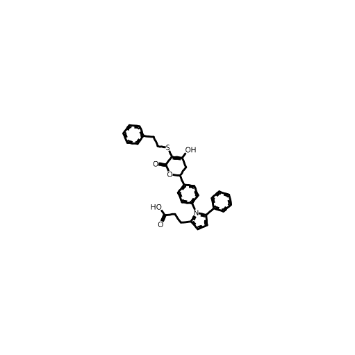 O=C(O)CCc1ccc(-c2ccccc2)n1-c1ccc(C2CC(O)=C(SCCc3ccccc3)C(=O)O2)cc1